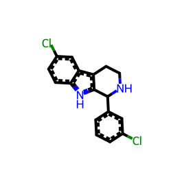 Clc1cccc(C2NCCc3c2[nH]c2ccc(Cl)cc32)c1